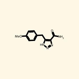 COc1ccc(Cc2[nH]nnc2C(N)=O)cc1